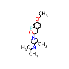 CCOc1ccc(CC(=O)N2CCC(N=C(C)C)=C(C)C2)c(F)c1